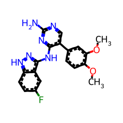 COc1ccc(-c2cnc(N)nc2Nc2n[nH]c3ccc(F)cc23)cc1OC